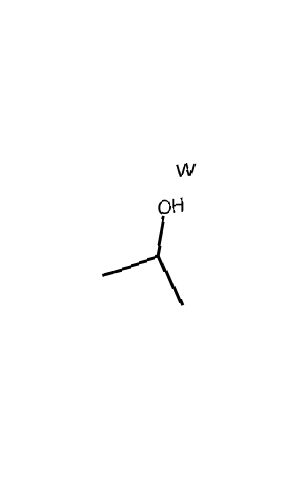 CC(C)O.[W]